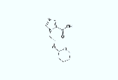 O=C(O)c1cncn1CCOC1CCCCO1